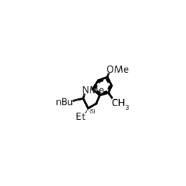 CCCCC(NC)[C@@H](CC)Cc1ccc(OC)cc1C